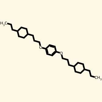 CCCC1CCC(CCCOc2ccc(OCCCC3CCC(CCC)CC3)cc2)CC1